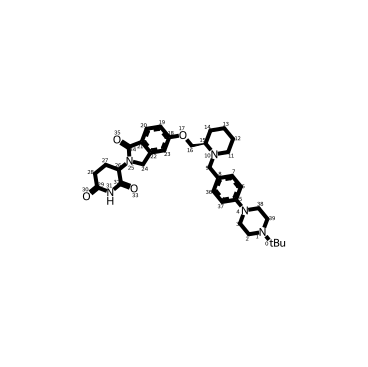 CC(C)(C)N1CCN(c2ccc(CN3CCCC[C@@H]3COc3ccc4c(c3)CN(C3CCC(=O)NC3=O)C4=O)cc2)CC1